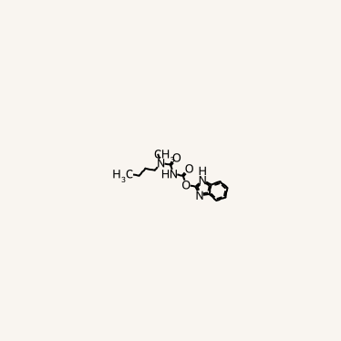 CCCCN(C)C(=O)NC(=O)Oc1nc2ccccc2[nH]1